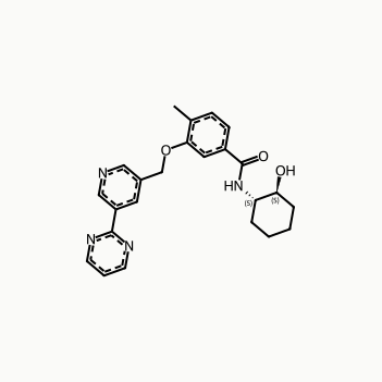 Cc1ccc(C(=O)N[C@H]2CCCC[C@@H]2O)cc1OCc1cncc(-c2ncccn2)c1